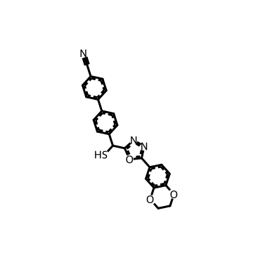 N#Cc1ccc(-c2ccc(C(S)c3nnc(-c4ccc5c(c4)OCCO5)o3)cc2)cc1